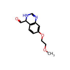 COCCOc1ccc2c(c1)N=CNC2C=O